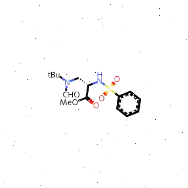 COC(=O)[C@H](CN(C=O)C(C)(C)C)NS(=O)(=O)c1ccccc1